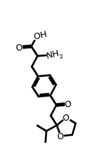 CC(C)C1(CC(=O)c2ccc(CC(N)C(=O)O)cc2)OCCO1